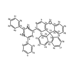 c1ccc(-c2cc(-c3ccc4c(c3)C(c3ccccc3)(c3ccccc3)c3ccccc3O4)nc(-c3ccccc3)n2)cc1